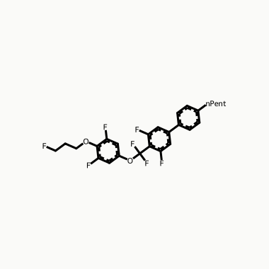 CCCCCc1ccc(-c2cc(F)c(C(F)(F)Oc3cc(F)c(OCCCF)c(F)c3)c(F)c2)cc1